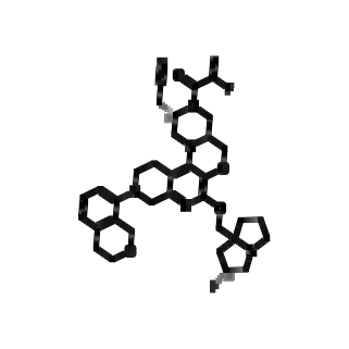 C=C(F)C(=O)N1CC2COc3c(OCC45CCCN4C[C@H](F)C5)nc4c(c3N2C[C@@H]1CC#N)CCN(c1cccc2c1COCC2)C4